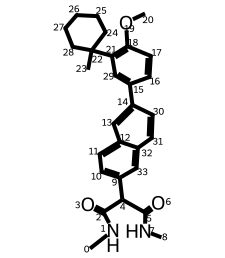 CNC(=O)C(C(=O)NC)c1ccc2cc(-c3ccc(OC)c(C4(C)CCCCC4)c3)ccc2c1